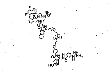 CC(C)(CCOC(C)(C)CCC(=O)N[C@@H](Cc1ccccc1)C(=O)N[C@@H](CCCNC(N)=O)C(=O)N[C@@H](Cc1ccccc1)C(=O)N1CCC[C@H]1C(=O)Oc1c(F)c(F)cc(F)c1F)NC(=O)CCCOc1ccc(NC(=O)[C@H](CC(=O)O)NC(=O)CNC(=O)c2cccc(NC(=N)N)c2)cc1